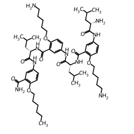 CCCCCCOc1ccc(NC(=O)[C@H](CC(C)C)NC(=O)c2cc(NC(=O)[C@@H](CC(C)C)NC(=O)c3cc(NC(=O)[C@@H](N)CC(C)C)ccc3OCCCCCN)ccc2OCCCCCN)cc1C(N)=O